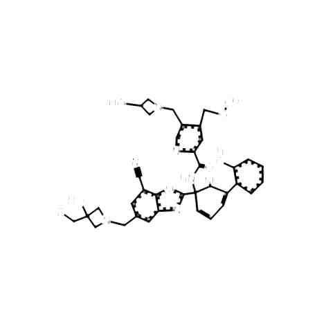 COCc1cc(C(=O)NC2(c3nc4cc(CN5CC(O)(CF)C5)cc(C#N)c4o3)C=CC=C(c3ccccc3C)C2Cl)ncc1CN1CC(O)C1